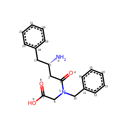 N[C@H](CC(=O)N(CC(=O)O)Cc1ccccc1)Cc1ccccc1